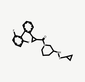 O=C(C1CC1c1ccccc1-c1c(F)cccc1F)N1CCCC(NSC2CC2)C1